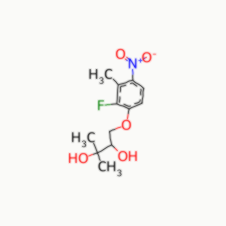 Cc1c([N+](=O)[O-])ccc(OCC(O)C(C)(C)O)c1F